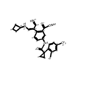 COC(=O)c1cc(NC(=O)C2(c3ccc(C(F)(F)F)cc3F)CC2)ccc1/C(C=N)=C/NC1CCC1